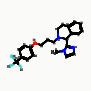 Cn1ccnc1C1c2ccccc2CCN1CCCOc1ccc(C(F)(F)F)cc1